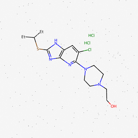 CCC(CC)Sc1nc2nc(N3CCN(CCO)CC3)c(Cl)cc2[nH]1.Cl.Cl